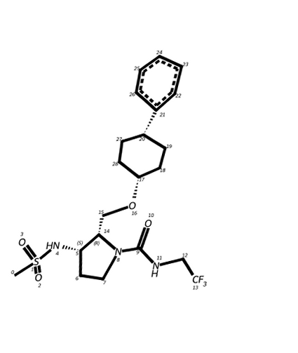 CS(=O)(=O)N[C@H]1CCN(C(=O)NCC(F)(F)F)[C@H]1CO[C@H]1CC[C@@H](c2ccccc2)CC1